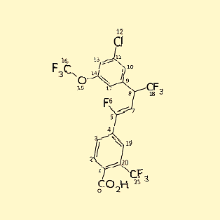 O=C(O)c1ccc(C(F)=CC(c2cc(Cl)cc(OC(F)(F)F)c2)C(F)(F)F)cc1C(F)(F)F